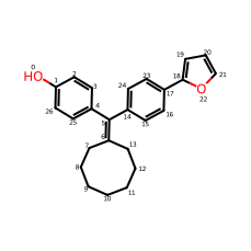 Oc1ccc(C(=C2CCCCCCC2)c2ccc(-c3ccco3)cc2)cc1